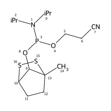 CC(C)N(C(C)C)P(OCCC#N)OC1C2CCC1(C)SS2